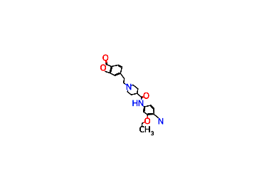 CCOc1cc(NC(=O)C2CCN(CCc3ccc4c(c3)COC4=O)CC2)ccc1C#N